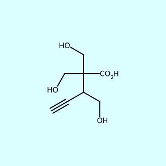 C#CC(CO)C(CO)(CO)C(=O)O